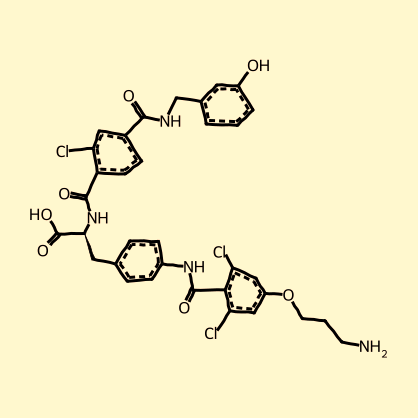 NCCCOc1cc(Cl)c(C(=O)Nc2ccc(C[C@H](NC(=O)c3ccc(C(=O)NCc4cccc(O)c4)cc3Cl)C(=O)O)cc2)c(Cl)c1